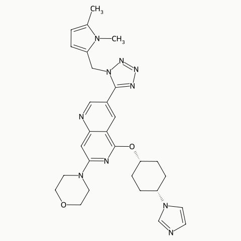 Cc1ccc(Cn2nnnc2-c2cnc3cc(N4CCOCC4)nc(O[C@H]4CC[C@@H](n5ccnc5)CC4)c3c2)n1C